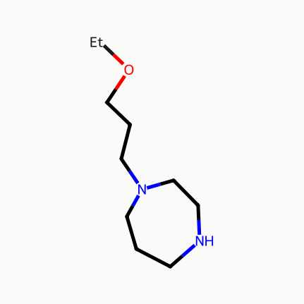 CCOCCCN1CCCNCC1